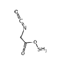 O=C=NCC(=O)O[SiH3]